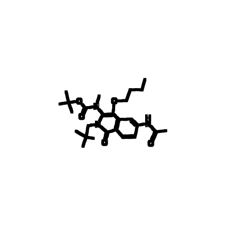 CCCCOc1c(N(C)C(=O)OC(C)(C)C)n(CC(C)(C)C)c(=O)c2ccc(NC(C)=O)cc12